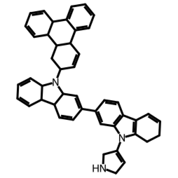 C1=CC2c3ccccc3C3C=CC(N4C5C=CC=CC5C5C=CC(c6ccc7c8c(n(C9=CCNC9)c7c6)CCC=C8)=CC54)CC3C2C=C1